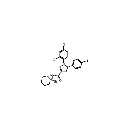 CC[N+]1(NC(=O)C2=NN(c3ccc(Cl)cc3Cl)[C@@H](c3ccc(Cl)cc3)C2)CCCCC1